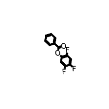 O=C(Oc1cc(F)c(F)cc1F)c1ccccc1